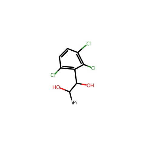 CC(C)C(O)C(O)c1c(Cl)ccc(Cl)c1Cl